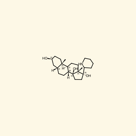 C[C@]12CC[C@H](O)C[C@H]1CC[C@@H]1[C@@H]2CC[C@]2(C)[C@@](O)(C3CCCCN3)CC[C@]12O